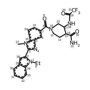 CCn1c(-c2nc3cc(C(=O)N4CCC(C(N)=O)C(NC(=O)C(F)(F)F)C4)ccc3n2C)cc2ccccc21